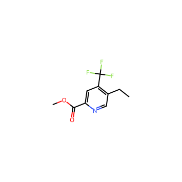 CCc1cnc(C(=O)OC)cc1C(F)(F)F